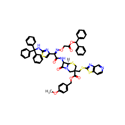 COc1ccc(COC(=O)C2(CSc3nc4cnccc4s3)CS[C@@H]3C(NC(=O)C(=NOCC(=O)OC(c4ccccc4)c4ccccc4)c4csc(NC(c5ccccc5)(c5ccccc5)c5ccccc5)n4)C(=O)N3C2)cc1